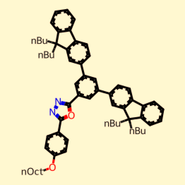 CCCCCCCCOc1ccc(-c2nnc(-c3cc(-c4ccc5c(c4)C(CCCC)(CCCC)c4ccccc4-5)cc(-c4ccc5c(c4)C(CCCC)(CCCC)c4ccccc4-5)c3)o2)cc1